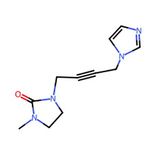 CN1CCN(CC#CCn2ccnc2)C1=O